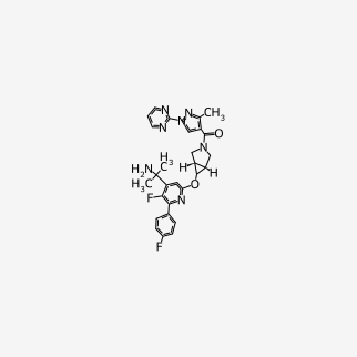 Cc1nn(-c2ncccn2)cc1C(=O)N1C[C@@H]2C(Oc3cc(C(C)(C)N)c(F)c(-c4ccc(F)cc4)n3)[C@@H]2C1